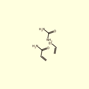 C=CC(N)=O.C=CCC.NC(N)=O